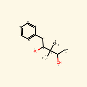 CC(C)C(O)C(C)(C)C(O)Cc1ccccc1